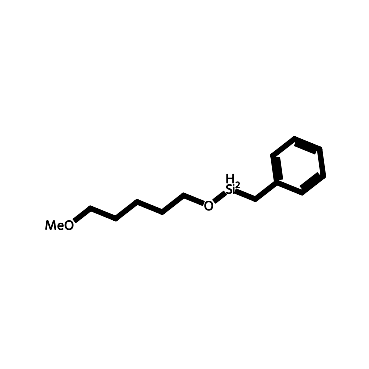 COCCCCCO[SiH2]Cc1ccccc1